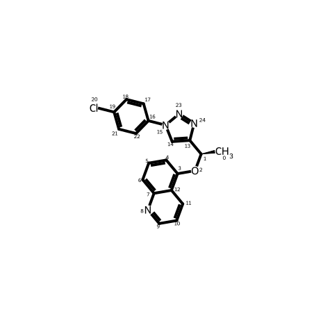 C[C@@H](Oc1cccc2ncccc12)c1cn(-c2ccc(Cl)cc2)nn1